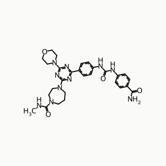 CNC(=O)N1CCCN(c2nc(-c3ccc(NC(=O)Nc4ccc(C(N)=O)cc4)cc3)nc(N3CCOCC3)n2)CC1